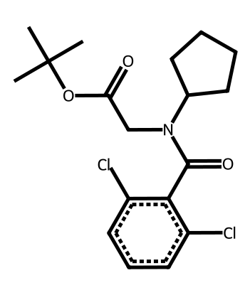 CC(C)(C)OC(=O)CN(C(=O)c1c(Cl)cccc1Cl)C1CCCC1